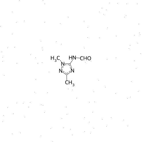 Cc1nc(NC=O)n(C)n1